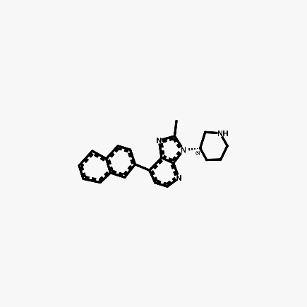 Cc1nc2c(-c3ccc4ccccc4c3)ccnc2n1[C@H]1CCCNC1